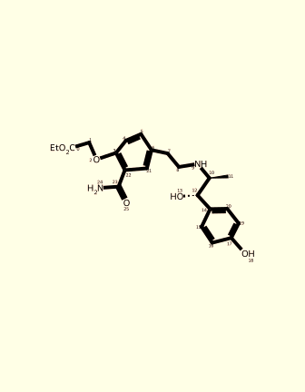 CCOC(=O)COc1ccc(CCN[C@@H](C)[C@@H](O)c2ccc(O)cc2)cc1C(N)=O